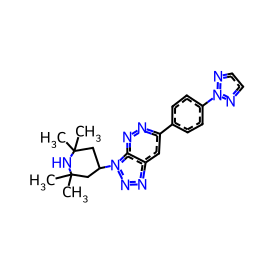 CC1(C)CC(n2nnc3cc(-c4ccc(-n5nccn5)cc4)nnc32)CC(C)(C)N1